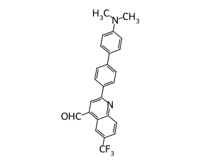 CN(C)c1ccc(-c2ccc(-c3cc(C=O)c4cc(C(F)(F)F)ccc4n3)cc2)cc1